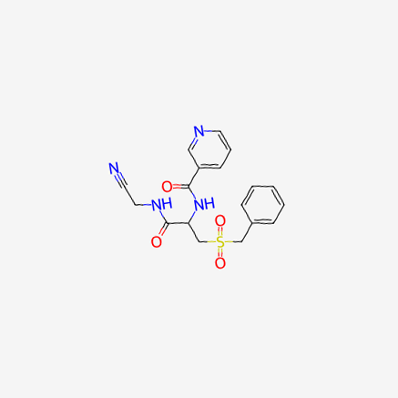 N#CCNC(=O)C(CS(=O)(=O)Cc1ccccc1)NC(=O)c1cccnc1